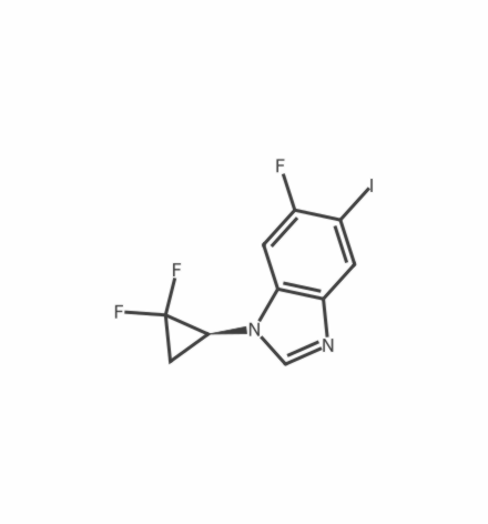 Fc1cc2c(cc1I)ncn2[C@H]1CC1(F)F